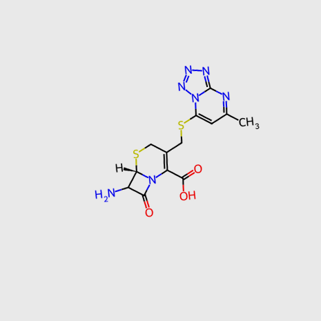 Cc1cc(SCC2=C(C(=O)O)N3C(=O)C(N)[C@@H]3SC2)n2nnnc2n1